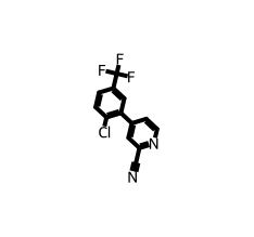 N#Cc1cc(-c2cc(C(F)(F)F)ccc2Cl)ccn1